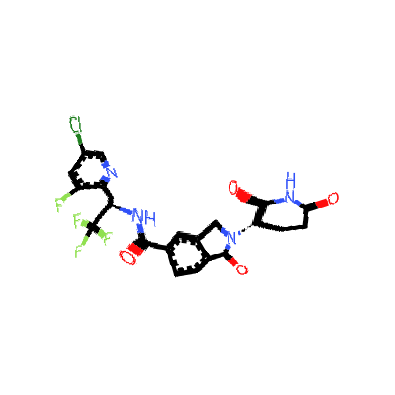 O=C1CC[C@H](N2Cc3cc(C(=O)N[C@H](c4ncc(Cl)cc4F)C(F)(F)F)ccc3C2=O)C(=O)N1